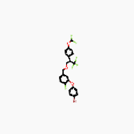 Fc1ccc(COCC(c2ccc(OC(F)F)cc2)C(F)(F)F)cc1Oc1ccc(Br)cc1